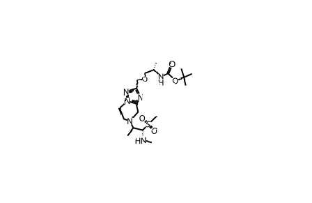 CN[C@H](C(C)N1CCn2nc(COC[C@H](C)NC(=O)OC(C)(C)C)nc2C1)S(C)(=O)=O